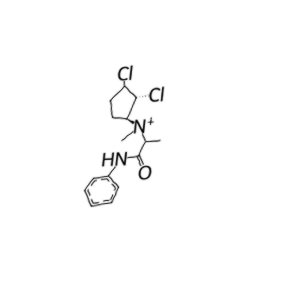 CC(C(=O)Nc1ccccc1)[N+](C)(C)[C@H]1CCC(Cl)[C@@H]1Cl